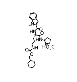 Cn1c(C(=O)N[C@@H](CCCNC(=O)OCC2CCCCC2)C(=O)N[C@H]2CCC[C@H]2C(=O)O)cc2ccccc21